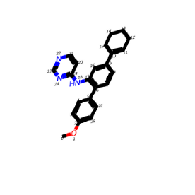 COc1ccc(-c2ccc(C3=CCCCC3)cc2Nc2ccncn2)cc1